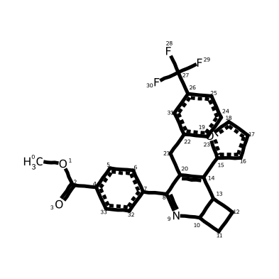 COC(=O)c1ccc(C2=NC3CCC3C(c3ccco3)=C2Cc2cccc(C(F)(F)F)c2)cc1